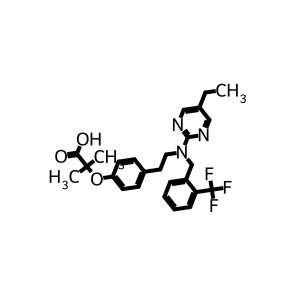 CCc1cnc(N(CCc2ccc(OC(C)(C)C(=O)O)cc2)Cc2ccccc2C(F)(F)F)nc1